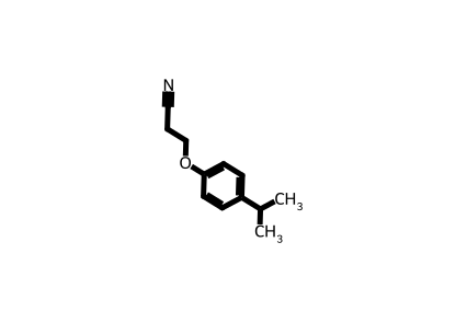 CC(C)c1ccc(OCCC#N)cc1